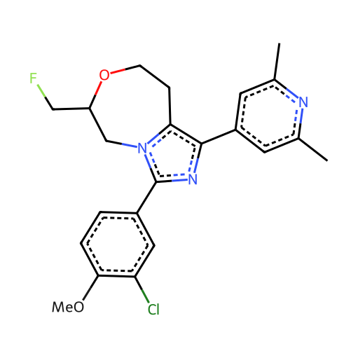 COc1ccc(-c2nc(-c3cc(C)nc(C)c3)c3n2CC(CF)OCC3)cc1Cl